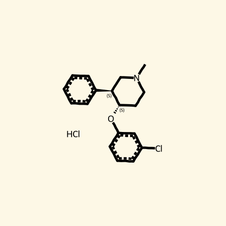 CN1CC[C@H](Oc2cccc(Cl)c2)[C@@H](c2ccccc2)C1.Cl